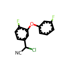 N#CC(Cl)c1ccc(F)c(Oc2cccc(F)c2)c1